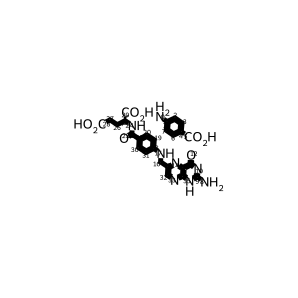 Nc1ccc(C(=O)O)cc1.Nc1nc(=O)c2nc(CNc3ccc(C(=O)N[C@@H](CCC(=O)O)C(=O)O)cc3)cnc2[nH]1